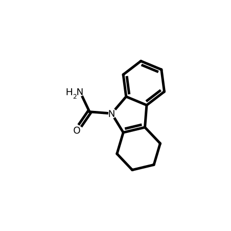 NC(=O)n1c2c(c3ccccc31)CCCC2